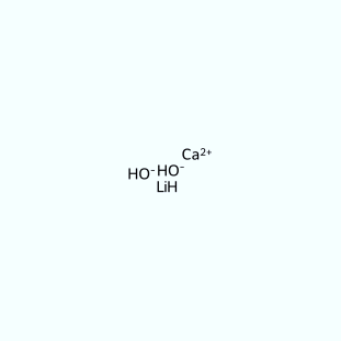 [Ca+2].[LiH].[OH-].[OH-]